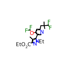 CCOC(=O)c1nn(CC)c(-c2cnc(CC(C)(C)C(F)F)cc2OC(F)F)c1C